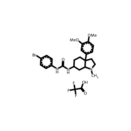 COc1ccc(C23CCC(NC(=O)Nc4ccc(Br)cc4)CC2N(C)CC3)cc1OC.O=C(O)C(F)(F)F